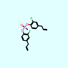 C=CCc1ccc(OP(C)(=O)Oc2ccc(CC=C)cc2F)c(F)c1